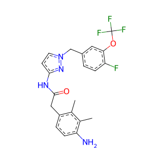 Cc1c(N)ccc(CC(=O)Nc2ccn(Cc3ccc(F)c(OC(F)(F)F)c3)n2)c1C